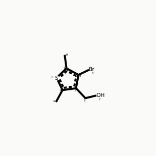 Cc1sc(C)c(CO)c1Br